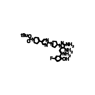 CC(C)(C)OC(=O)N1CC=C(c2cnc(N3CCC(n4nc(N)c(N)c4/C=C(\N)c4cc(F)ccc4O)CC3)nc2)CC1